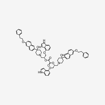 O=C(O[C@H](COc1cccc2[nH]ccc12)CN1CCC(O)(c2ccc3cc(OCCc4ccccc4)ccc3c2)CC1)C(=O)O[C@H](COc1cccc2[nH]ccc12)CN1CCC(O)(c2ccc3cc(OCCc4ccccc4)ccc3c2)CC1